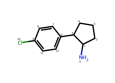 NC1CCCC1c1ccc(Cl)cc1